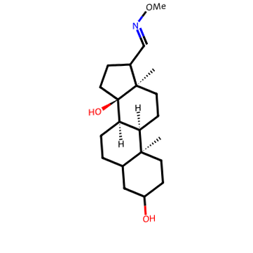 CO/N=C/C1CC[C@@]2(O)[C@@H]3CCC4CC(O)CC[C@]4(C)[C@@H]3CC[C@]12C